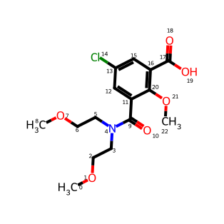 COCCN(CCOC)C(=O)c1cc(Cl)cc(C(=O)O)c1OC